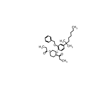 CCCCCCC(C)(C)c1ccc([C@H]2C[C@@H](C(=O)CC)CCN2C(=O)CC)c(OCc2ccccc2)c1